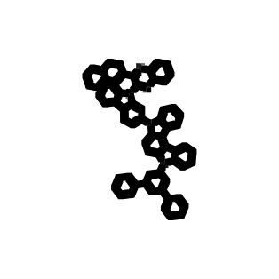 c1ccc(-c2cc(-c3ccccc3)cc(-n3c4ccccc4c4c5c6ccccc6n(-c6ccc7c8ccccc8n(-c8nc9ccccc9nc8-c8ccc9ccccc9c8)c7c6)c5ccc43)c2)cc1